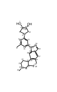 Cc1nc(N2C[C@@H](O)[C@@H](O)C2)cc(-n2ncc3cc(C)c(C4CCN(C)CC4F)cc32)n1